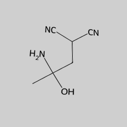 CC(N)(O)CC(C#N)C#N